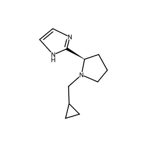 c1c[nH]c([C@H]2CCCN2CC2CC2)n1